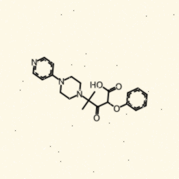 CC(C)(C(=O)C(Oc1ccccc1)C(=O)O)N1CCN(c2ccncc2)CC1